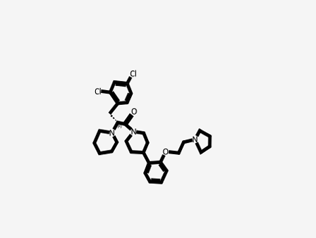 O=C([C@@H](Cc1ccc(Cl)cc1Cl)N1CCCCC1)N1CCC(c2ccccc2OCCN2CCCC2)CC1